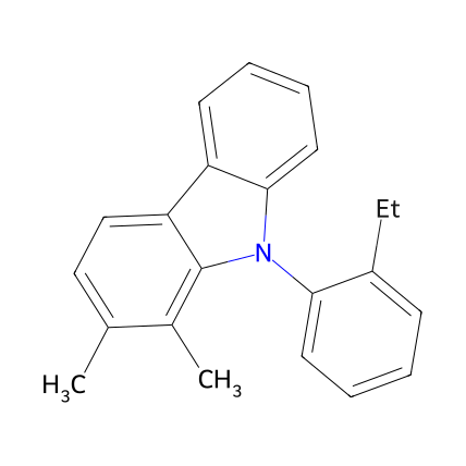 CCc1ccccc1-n1c2ccccc2c2ccc(C)c(C)c21